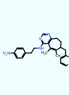 CC1=C(C)C(Cc2ccccc2)CCc2ncnc(NCCc3ccc(N)cc3)c21